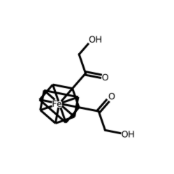 O=C(CO)[C]12[CH]3[CH]4[CH]5[C]1(C(=O)CO)[Fe]43521678[CH]2[CH]1[CH]6[CH]7[CH]28